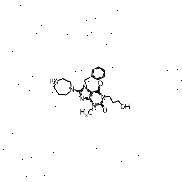 Cn1c(=O)n(CCCO)c(=O)c2c1nc(N1CCCNCC1)n2Cc1ccccc1